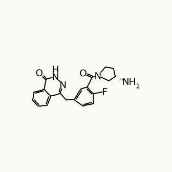 N[C@H]1CCN(C(=O)c2cc(Cc3n[nH]c(=O)c4ccccc34)ccc2F)C1